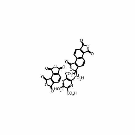 O=C(O)c1nc(C(=O)O)c(C(=O)O)nc1C(=O)O.O=c1oc(=O)c2c1ccc1c(=O)oc(=O)c12.O=c1oc(=O)c2c1ccc1c2ccc2c(=O)oc(=O)c21